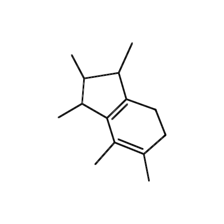 CC1=C(C)C2=C(CC1)C(C)C(C)C2C